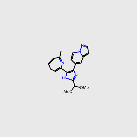 COC(OC)c1nc(-c2ccn3nccc3c2)c(C2=CCC=CC(C)=N2)[nH]1